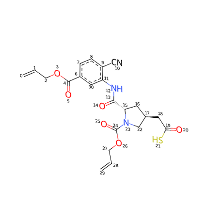 C=CCOC(=O)c1ccc(C#N)c(NC(=O)[C@@H]2C[C@@H](CC(=O)S)CN2C(=O)OCC=C)c1